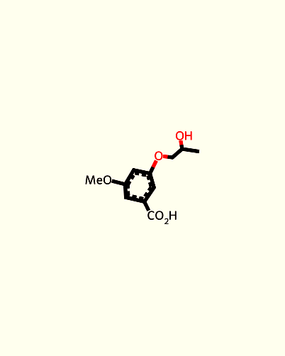 COc1cc(OCC(C)O)cc(C(=O)O)c1